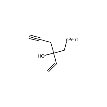 C#CCC(O)(C=C)CCCCCC